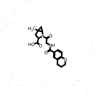 CC12CC(C(=O)O)N(C(=O)CNC(=O)c3ccc4c(c3)CCCO4)C1C2